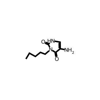 CCCCCn1c(=O)[nH]cc(N)c1=O